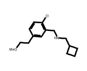 COCCc1ccc(Cl)c(CNCC2CCC2)c1